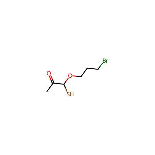 CC(=O)C(S)OCCCBr